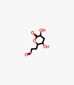 O=PCCC1OC(=O)C(O)CC1O